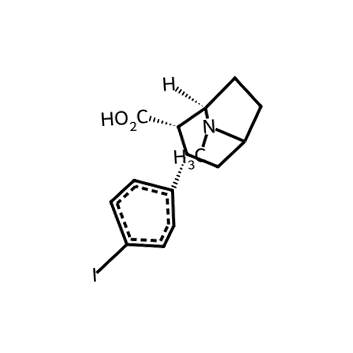 CN1C2CC[C@@H]1[C@@H](C(=O)O)[C@@H](c1ccc(I)cc1)C2